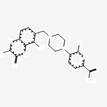 CCc1nc2ccc(CN3CCN(c4ccc(C(=O)NC)nc4Cl)CC3)c(Cl)c2[nH]c1=O